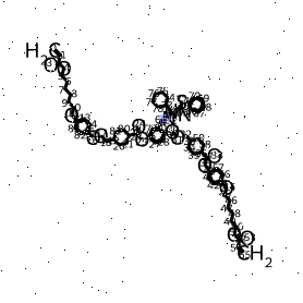 C=CC(=O)OCCCCCCOc1ccc(OOCC2CCC(C(=O)Oc3ccc(OOCC4CCC(C(=O)Oc5ccc(OCCCCCCOC(=O)C=C)cc5)CC4)c(/C=N/N(c4nc5ccccc5s4)C4CCCCC4)c3)CC2)cc1